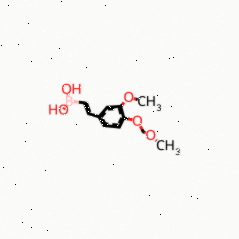 COCOc1ccc(/C=C/B(O)O)cc1OC